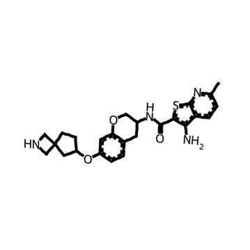 Cc1ccc2c(N)c(C(=O)NC3COc4cc(OC5CCC6(CNC6)C5)ccc4C3)sc2n1